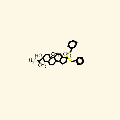 C=C(C)[C@@]1(O)CC[C@@]2(C)C(CCC3C2CC[C@@]2(C)C3CCC2(SCc2ccccc2)SCc2ccccc2)C1